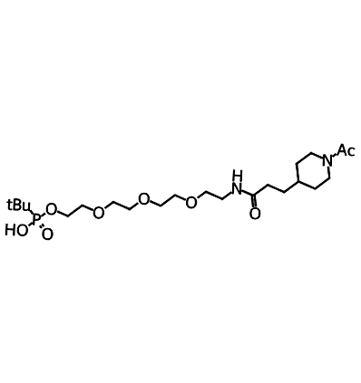 CC(=O)N1CCC(CCC(=O)NCCOCCOCCOCCOP(=O)(O)C(C)(C)C)CC1